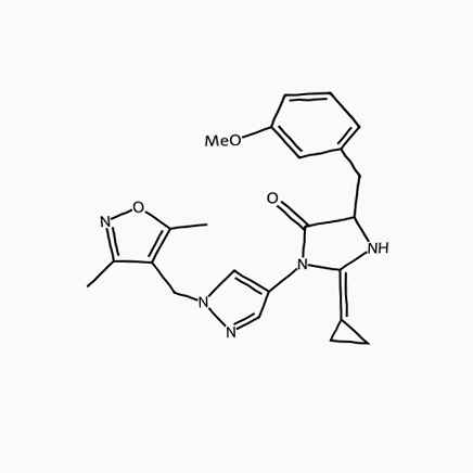 COc1cccc(CC2NC(=C3CC3)N(c3cnn(Cc4c(C)noc4C)c3)C2=O)c1